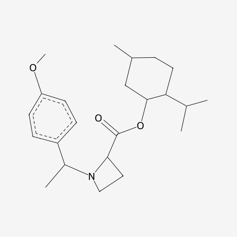 COc1ccc(C(C)N2CCC2C(=O)OC2CC(C)CCC2C(C)C)cc1